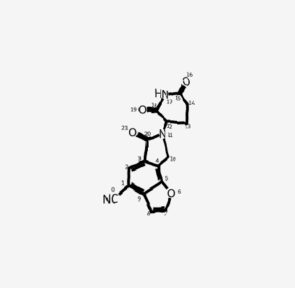 N#Cc1cc2c(c3occc13)CN(C1CCC(=O)NC1=O)C2=O